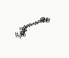 CN(C)C(=O)c1cc2cnc(Nc3ccc(N4CCN(CCN5CCN(c6ccc7c(c6)CN(C6CCC(=O)NC6=O)C7=O)CC5)CC4)cn3)nc2n1C1CCCC1